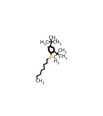 CCCCCCCC[P]c1ccc(C(C)(C)C)cc1C(C)(C)C